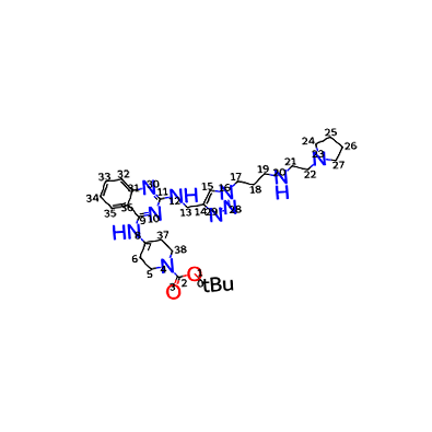 CC(C)(C)OC(=O)N1CCC(Nc2nc(NCc3cn(CCCNCCN4CCCC4)nn3)nc3ccccc23)CC1